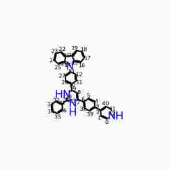 C1=CC(c2ccc(C3=CC(c4ccc(-n5c6ccccc6c6ccccc65)cc4)NC(c4ccccc4)N3)cc2)=CCN1